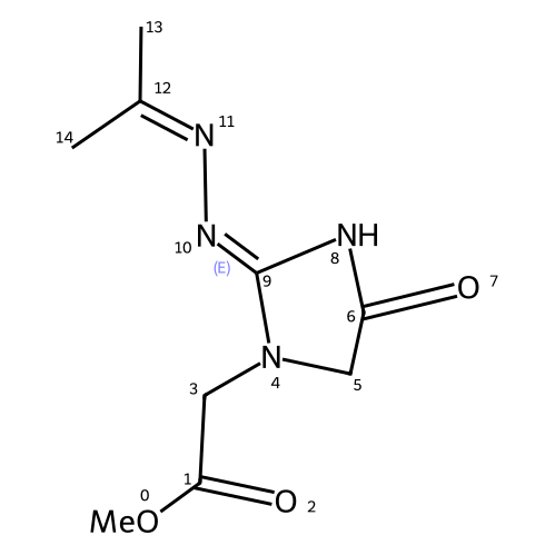 COC(=O)CN1CC(=O)N/C1=N\N=C(C)C